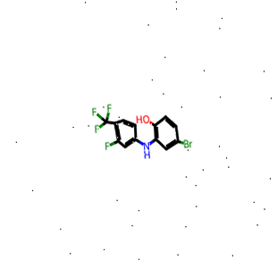 Oc1ccc(Br)cc1Nc1ccc(C(F)(F)F)c(F)c1